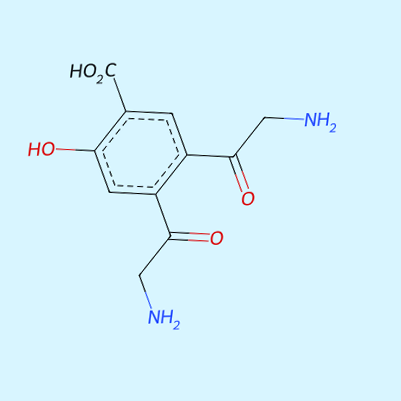 NCC(=O)c1cc(O)c(C(=O)O)cc1C(=O)CN